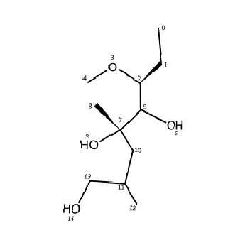 CC[C@H](OC)C(O)[C@@](C)(O)CC(C)CO